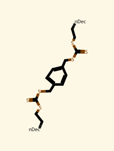 CCCCCCCCCCCCSC(=S)SCc1ccc(CSC(=S)SCCCCCCCCCCCC)cc1